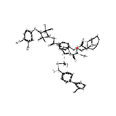 Cc1ncsc1-c1ccc([C@H](C)NC(=O)[C@@H]2C[C@@H](O)CN2C(=O)[C@@H](NC(=O)CN2C3CCC2CN(CCCc2ccc(C(=O)NC4C(C)(C)C(Oc5ccc(C#N)c(Cl)c5)C4(C)C)cc2)C3)C(C)(C)C)cc1